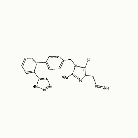 CCCCc1nc(CN=N)c(Cl)n1Cc1ccc(-c2ccccc2-c2nnn[nH]2)cc1